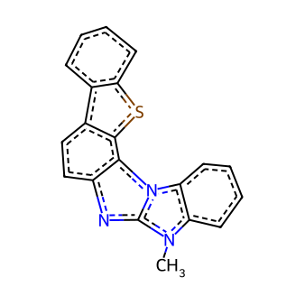 Cn1c2ccccc2n2c3c(ccc4c5ccccc5sc43)nc12